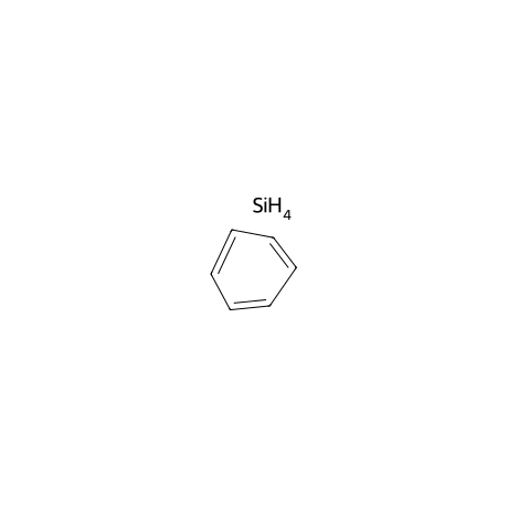 [SiH4].c1ccccc1